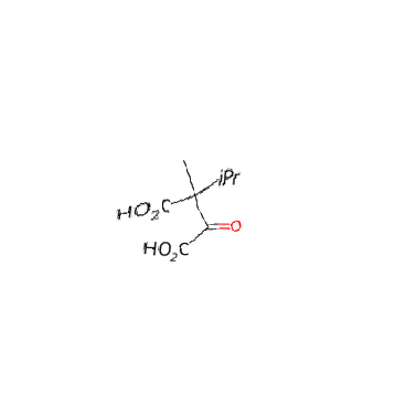 CC(C)C(C)(C(=O)O)C(=O)C(=O)O